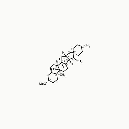 CO[C@H]1CC[C@@]2(C)C(=CC[C@H]3[C@@H]4C[C@@H]5O[C@]6(CC[C@@H](C)CO6)[C@@H](C)[C@@H]5[C@@]4(C)CC[C@@H]32)C1